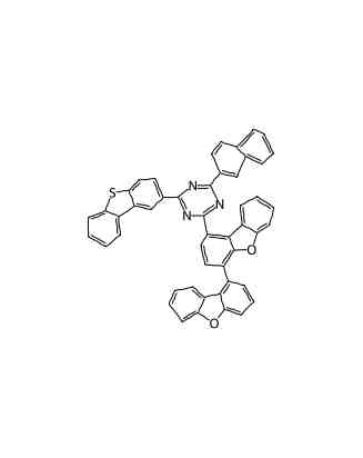 c1ccc2cc(-c3nc(-c4ccc5sc6ccccc6c5c4)nc(-c4ccc(-c5cccc6oc7ccccc7c56)c5oc6ccccc6c45)n3)ccc2c1